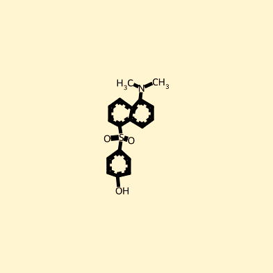 CN(C)c1cccc2c(S(=O)(=O)c3ccc(O)cc3)cccc12